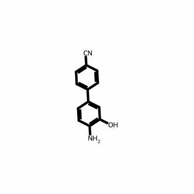 N#Cc1ccc(-c2ccc(N)c(O)c2)cc1